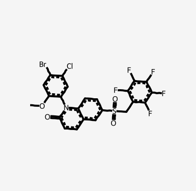 COc1cc(Br)c(Cl)cc1-n1c(=O)ccc2cc(S(=O)(=O)Cc3c(F)c(F)c(F)c(F)c3F)ccc21